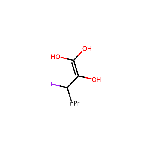 CCCC(I)C(O)=C(O)O